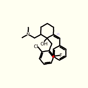 CN(C)CC1CCC/C(=C/c2ccccc2)C1(O)Cc1c(F)cccc1Cl